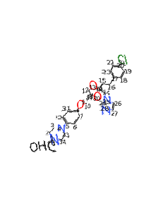 O=CN1CCN(c2ccc(OC[C@@H]3CO[C@](CCc4ccc(Cl)cc4)(Cn4ccnc4)O3)cc2)CC1